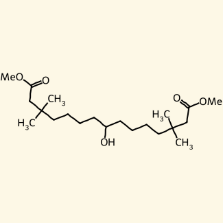 COC(=O)CC(C)(C)CCCCC(O)CCCCC(C)(C)CC(=O)OC